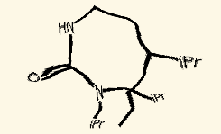 CC(C)C1CCNC(=O)N(C(C)C)C1(C)C(C)C